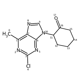 Cc1nc(Cl)nc2c1ncn2C1CCCCC1=O